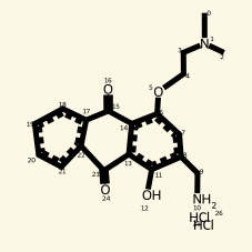 CN(C)CCOc1cc(CN)c(O)c2c1C(=O)c1ccccc1C2=O.Cl.Cl